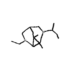 CCN1CC2CN(C(C)C)CC1C(C)(C)C2